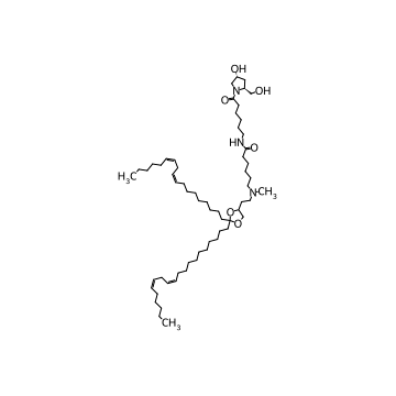 CCCCC/C=C\C/C=C\CCCCCCCCCCC1(CCCCCCCC/C=C\C/C=C\CCCCC)OCC(CCN(C)CCCCCC(=O)NCCCCCC(=O)N2C[C@H](O)C[C@H]2CO)O1